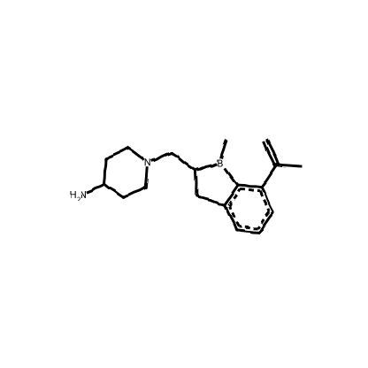 C=C(C)c1cccc2c1B(C)C(CN1CCC(N)CC1)C2